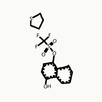 C1CCSC1.O=S(=O)(Oc1ccc(O)c2ccccc12)C(F)(F)F